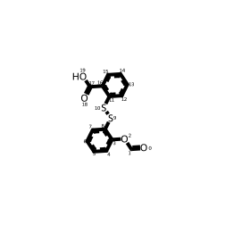 O=COc1ccccc1SSc1ccccc1C(=O)O